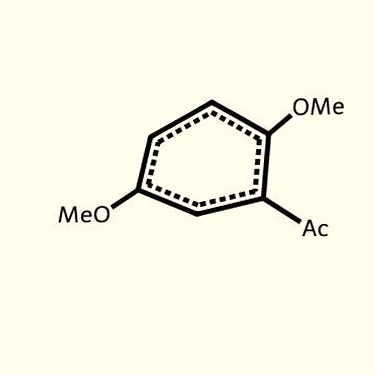 [CH2]C(=O)c1cc(OC)ccc1OC